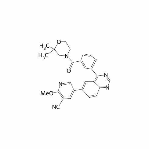 COc1ncc(-c2ccc3ncnc(-c4cccc(C(=O)N5CCOC(C)(C)C5)c4)c3c2)cc1C#N